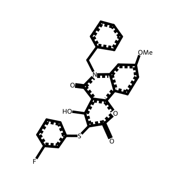 COc1ccc2c3oc(=O)c(Sc4cccc(F)c4)c(O)c3c(=O)n(Cc3ccccc3)c2c1